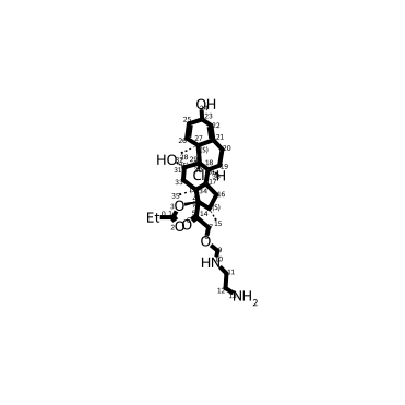 CCC(=O)O[C@]1(C(=O)COCNCCN)[C@@H](C)CC2[C@@H]3CCC4=CC(O)C=C[C@]4(C)[C@@]3(Cl)[C@@H](O)C[C@@]21C